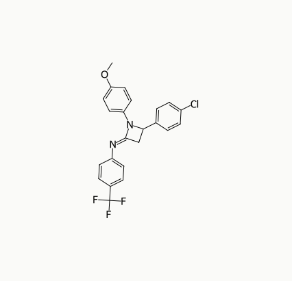 COc1ccc(N2/C(=N/c3ccc(C(F)(F)F)cc3)CC2c2ccc(Cl)cc2)cc1